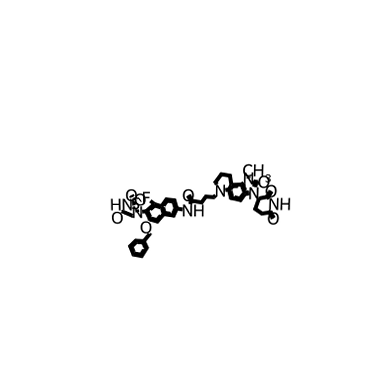 Cn1c(=O)n(C2CCC(=O)NC2=O)c2ccc3c(c21)CCCN3CCCC(=O)Nc1ccc2c(F)c(N3CC(=O)NS3(=O)=O)c(OCc3ccccc3)cc2c1